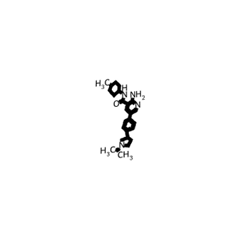 CC1CCC(NC(=O)c2cc(-c3ccc(C4CCN(C(C)C)C4)cc3)cnc2N)CC1